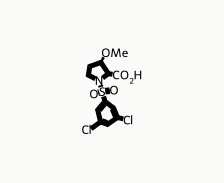 CO[C@@H]1CCN(S(=O)(=O)c2cc(Cl)cc(Cl)c2)C1C(=O)O